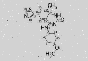 CO[C@H]1CC[C@@H](Nc2nc(=O)[nH]c3c(C)cc(-c4cncs4)cc23)CC1